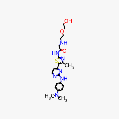 Cc1nc(NC(=O)CNCCOCCO)sc1-c1ccnc(Nc2ccc(N(C)C)cc2)n1